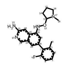 Cc1cccc(F)c1-c1cc(NOC2CCCN2C)c2cc(N)ncc2c1